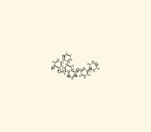 Cc1cc(-c2ncccc2-c2ccc3ncnc(Oc4cccc(N5CCOCC5)c4)c3c2)ccc1F